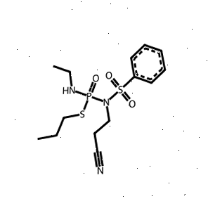 CCCSP(=O)(NCC)N(CCC#N)S(=O)(=O)c1ccccc1